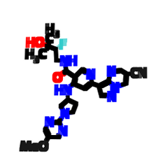 COc1cnc(N2CC[C@@H](Nc3cc(-c4cnn5cc(C#N)cnc45)ncc3C(=O)NC[C@@H](F)C(C)(C)O)C2)nc1